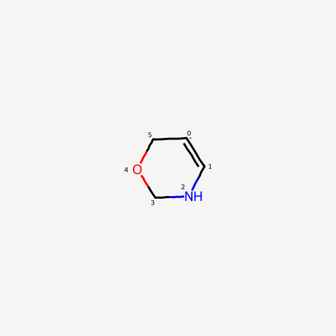 [C]1=CNCOC1